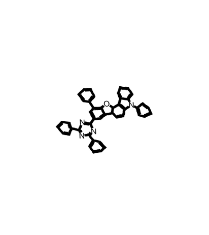 C1=CC2c3cc(-c4nc(-c5ccccc5)nc(-c5ccccc5)n4)cc(-c4ccccc4)c3OC2c2c1n(-c1ccccc1)c1ccccc21